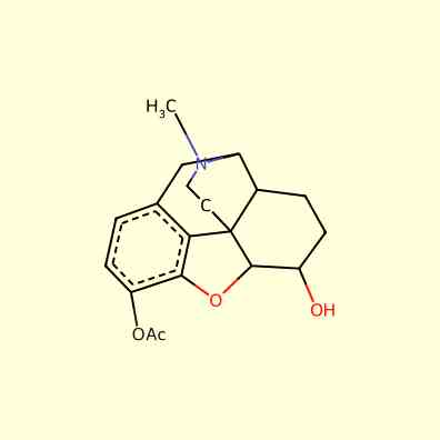 CC(=O)Oc1ccc2c3c1OC1C(O)CCC4C(C2)N(C)CCC341